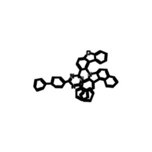 c1ccc(-c2ccc(-c3nc(-c4ccccc4)nc(-c4ccc5oc6ccccc6c5c4-n4c5cc6ccccc6cc5c5c6ccccc6ccc54)n3)cc2)cc1